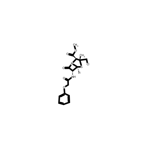 COC(=O)[C@@H]1N2C(=O)[C@@H](NC(=O)COc3ccccc3)[C@@H]2S[C@@]1(C)CCl